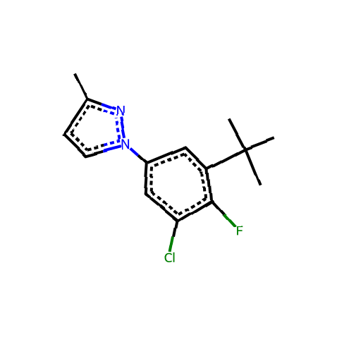 Cc1ccn(-c2cc(Cl)c(F)c(C(C)(C)C)c2)n1